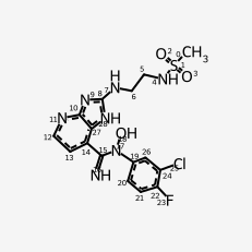 CS(=O)(=O)NCCNc1nc2nccc(C(=N)N(O)c3ccc(F)c(Cl)c3)c2[nH]1